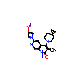 N#Cc1c(N2CCC3(CC2)CC3)c2cc(N3CC(OI)C3)ncc2[nH]c1=O